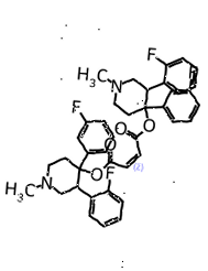 CN1CCC(OC(=O)/C=C\C(=O)OC2(c3cccc(F)c3)CCN(C)CC2c2ccccc2F)(c2cccc(F)c2)C(c2ccccc2F)C1